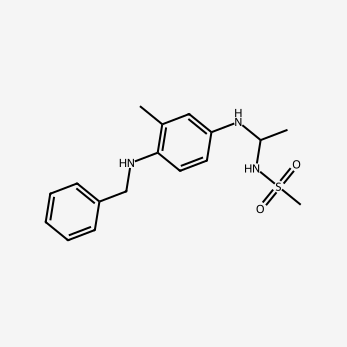 Cc1cc(NC(C)NS(C)(=O)=O)ccc1NCc1ccccc1